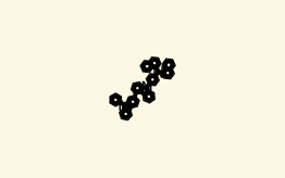 c1ccc(-n2c3ccccc3c3ccc(-c4cccc5c4c4ccccc4n5-c4ccc(N(c5cccc6ccccc56)c5cccc6ccccc56)cc4)cc32)cc1